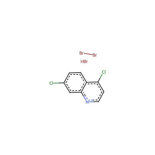 Br.BrBr.Clc1ccc2c(Cl)ccnc2c1